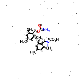 Cc1cc(C)c(CNC(=O)O)c(C)c1.Cc1cc(C)c(COC(N)=O)c(C)c1